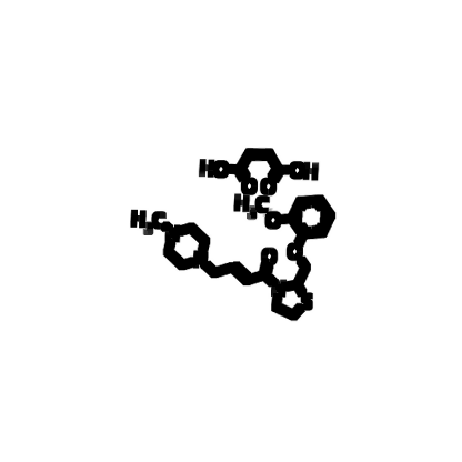 COc1ccccc1OCC1SCCN1C(=O)/C=C/CN1CCN(C)CC1.O=C(O)/C=C\C(=O)O